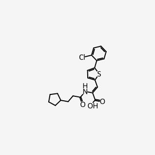 O=C(CCC1CCCC1)NC(=Cc1ccc(-c2ccccc2Cl)s1)C(=O)O